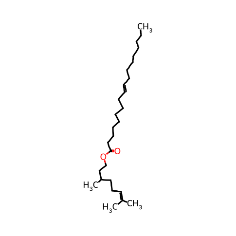 CCCCCCCCC=CCCCCCCCC(=O)OCCC(C)CCC=C(C)C